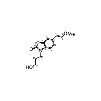 COC=Cc1ccc2c(c1)oc(=O)n2CCCO